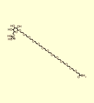 BC(=O)CCOCCOCCOCCOCCOCCOCCOCCOCCOCCOCCOCCOCCOC1OC(COP(=O)(O)O)C(O)C(O)C1O